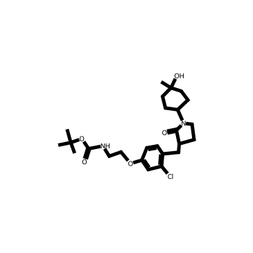 CC1(O)CCC(N2CCC(Cc3ccc(OCCNC(=O)OC(C)(C)C)cc3Cl)C2=O)CC1